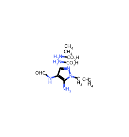 C.C.C.C.Cn1ncc(NC=O)c1N.NC(=O)O.NC(=O)O